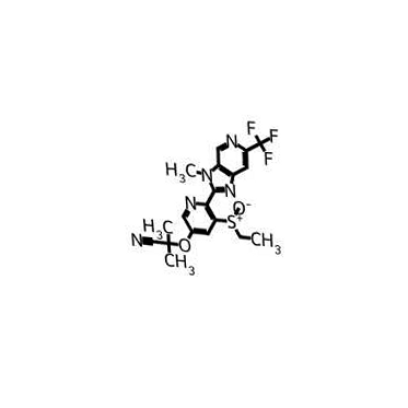 CC[S+]([O-])c1cc(OC(C)(C)C#N)cnc1-c1nc2cc(C(F)(F)F)ncc2n1C